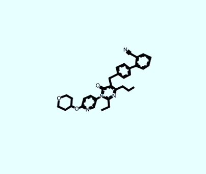 CCCc1nc(CC)n(-c2ccc(OC3CCOCC3)nc2)c(=O)c1Cc1ccc(-c2ccccc2C#N)cc1